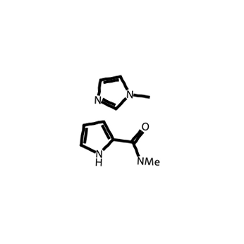 CNC(=O)c1ccc[nH]1.Cn1ccnc1